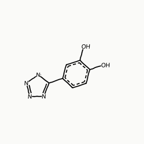 Oc1ccc(C2=NN=N[N]2)cc1O